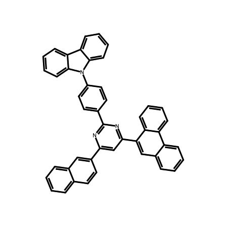 c1ccc2cc(-c3cc(-c4cc5ccccc5c5ccccc45)nc(-c4ccc(-n5c6ccccc6c6ccccc65)cc4)n3)ccc2c1